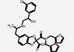 CC(Cc1ccc2c(c1)OC(C(=O)O)(C(=O)N(Cc1ccco1)Cc1ccco1)O2)NCC(O)c1cccc(Cl)c1